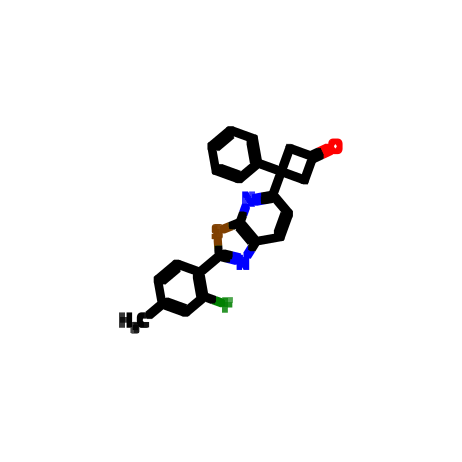 Cc1ccc(-c2nc3ccc(C4(c5ccccc5)CC(=O)C4)nc3s2)c(F)c1